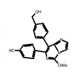 COc1nc(-c2ccc(C#N)cc2)c(-c2ccc(CO)cc2)c2nccn12